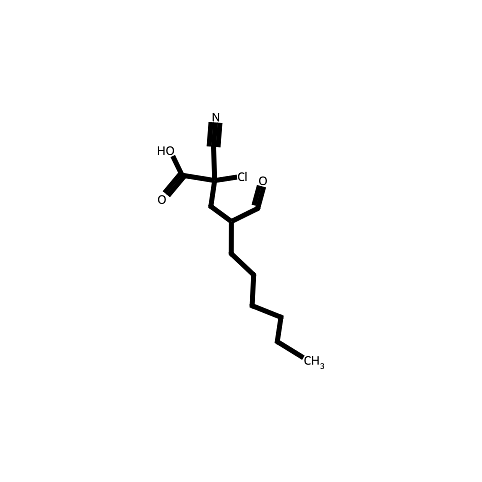 CCCCCCC(C=O)CC(Cl)(C#N)C(=O)O